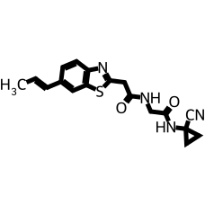 C/C=C/c1ccc2nc(CC(=O)NCC(=O)NC3(C#N)CC3)sc2c1